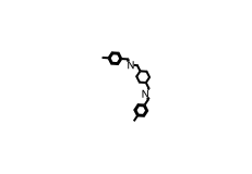 Cc1ccc(/C=N/CC2CCC(C/N=C/c3ccc(C)cc3)CC2)cc1